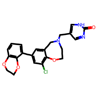 O=c1ncc(CN2CCOc3c(Cl)cc(-c4cccc5c4OCCO5)cc3C2)c[nH]1